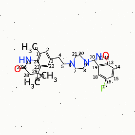 Cc1cc(CCN2CCN(c3noc4ccc(F)cc34)CC2)cc2c1NC(=O)CC2(C)C